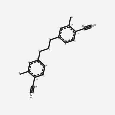 Cc1cc(CCCc2ccc(C#N)c(C)c2)ccc1C#N